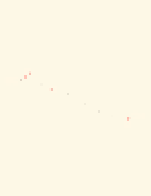 O=C(O)CCCCCCCCCCOCCCC(=O)O